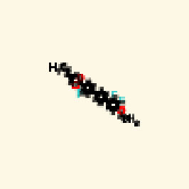 BCOc1ccc(-c2ccc(-c3ccc(C4OCC(/C=C/C)CO4)c(F)c3)cc2)c(F)c1F